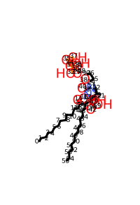 CCCCCCCCCCCCCC(=O)C(On1c(=O)c(C)cn([C@H]2CC[C@@H](COP(=O)(O)OP(=O)(O)O)O2)c1=O)(C(=O)CCCCCCCCCCCCC)C(O)CO